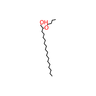 CCCCCCCCCCCCCCCCC(CO)OCCCC